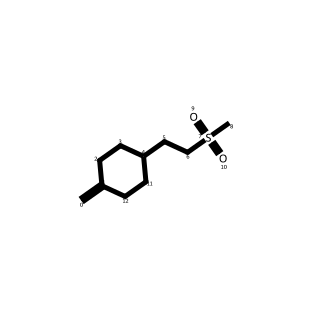 C=C1CCC(CCS(C)(=O)=O)CC1